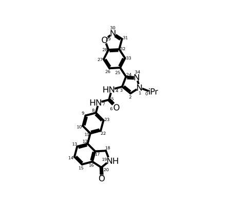 CC(C)n1cc(NC(=O)Nc2ccc(-c3cccc4c3CNC4=O)cc2)c(-c2ccc3oncc3c2)n1